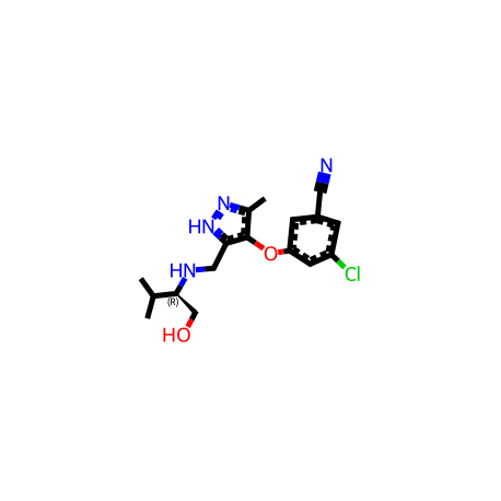 Cc1n[nH]c(CN[C@@H](CO)C(C)C)c1Oc1cc(Cl)cc(C#N)c1